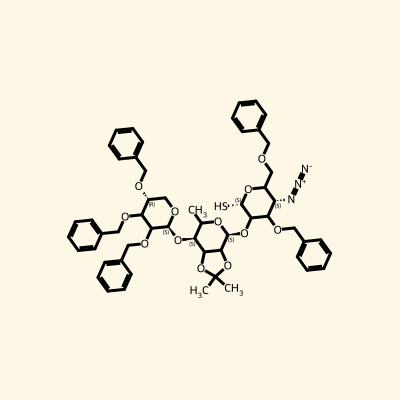 CC1O[C@@H](OC2C(OCc3ccccc3)[C@@H](N=[N+]=[N-])C(COCc3ccccc3)O[C@H]2S)C2OC(C)(C)OC2[C@H]1O[C@@H]1OC[C@@H](OCc2ccccc2)C(OCc2ccccc2)C1OCc1ccccc1